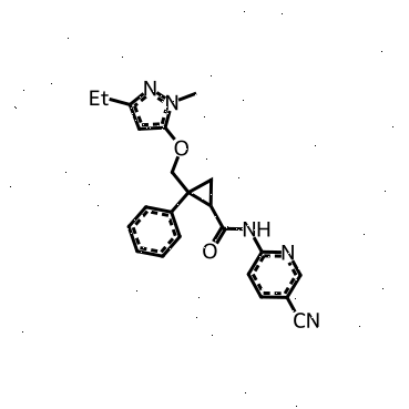 CCc1cc(OCC2(c3ccccc3)CC2C(=O)Nc2ccc(C#N)cn2)n(C)n1